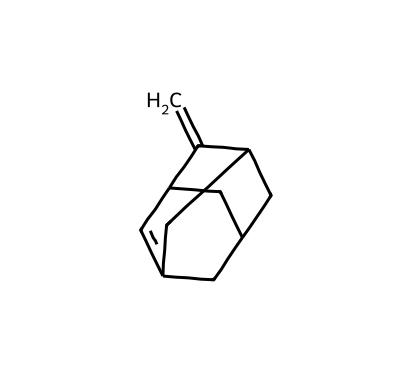 C=C1C2C=C3CC(C2)CC1C3